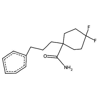 NC(=O)C1(CCCc2ccccc2)CCC(F)(F)CC1